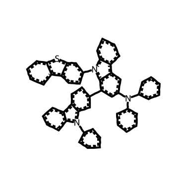 c1ccc(N(c2ccccc2)c2cc(-c3ccc4c5ccccc5n(-c5ccccc5)c4c3)c3c(c2)c2ccccc2n3-c2ccc3c(c2)sc2ccccc23)cc1